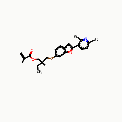 C=C(C)C(=O)OCC(C)(CSc1ccc2cc(-c3ccc(CC)nc3CC)oc2c1)CC(F)(F)F